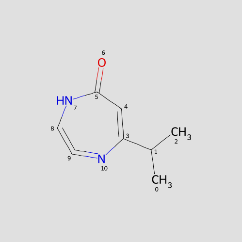 CC(C)C1=CC(=O)NC=C=N1